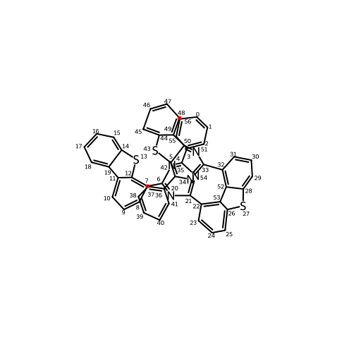 c1ccc(-c2nc(-c3cccc4c3sc3ccccc34)nc(-c3cccc4sc5cccc(-c6nc(-c7ccccc7)c7sc8ccccc8c7n6)c5c34)n2)cc1